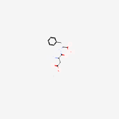 COC(=O)CC(N)C(=O)N[C@@H](Cc1ccccc1)C(=O)O